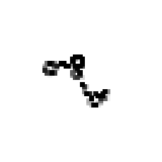 OC1CCCN(CCCCOc2ccccc2C=Cc2ccccc2)C1